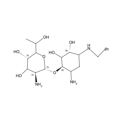 CC(C)CNC1CC(N)[C@@H](O[C@H]2OC(C(C)O)[C@@H](O)C(O)[C@@H]2N)C(O)[C@@H]1O